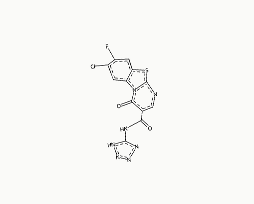 O=C(Nc1nnn[nH]1)c1cnc2sc3cc(F)c(Cl)cc3n2c1=O